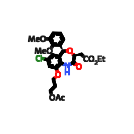 CCOC(=O)C[C@@H]1O[C@@H](c2cccc(OC)c2OC)c2cc(Cl)cc(OCCCOC(C)=O)c2NC1=O